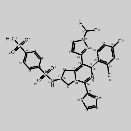 CS(=O)(=O)c1ccc(S(=O)(=O)N[C@H]2CC3=C(c4ccn(C(F)F)n4)[C@H](c4ccc(F)cc4Cl)N=C(c4nccs4)N3C2)cc1